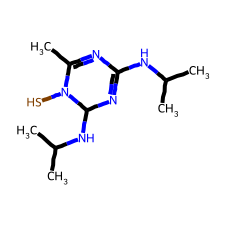 CC1=NC(NC(C)C)=NC(NC(C)C)N1S